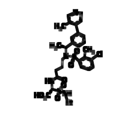 CCNS(=O)(=O)[C@H](NC(=O)CCCN([C@@H](C)c1cccc(-c2ccncc2C)c1)S(=O)(=O)c1cccc(Cl)c1C)C(=O)O